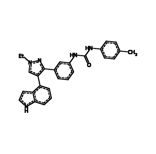 CCn1cc(-c2cccc3[nH]ccc23)c(-c2cccc(NC(=O)Nc3ccc(C)cc3)c2)n1